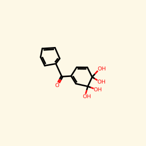 O=C(C1=CC(O)(O)C(O)(O)C=C1)c1ccccc1